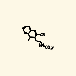 Cc1c(CCNC(=O)O)c(C#N)cc2ccccc12